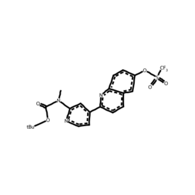 CN(C(=O)OC(C)(C)C)c1cc(-c2ccc3cc(OS(=O)(=O)C(F)(F)F)ccc3n2)ccn1